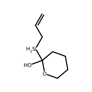 C=CC[SiH2]C1(O)CCCCO1